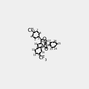 O=C(c1ccc(Cl)cc1)c1cc2ccc(C(F)(F)F)cc2n1S(=O)(=O)c1ccccc1